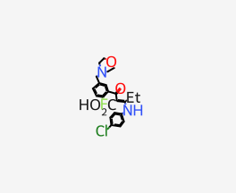 CCC(Nc1ccc(Cl)cc1)=C(C(=O)O)C(=O)c1cc(CN2CCOCC2)ccc1F